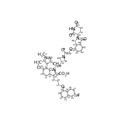 Cc1nn(C)c(C)c1-c1c(Cl)ccc2c(CCCOc3cccc4cc(F)ccc34)c(C(=O)O)n(CCC3CN(C(=O)COc4cccc5c4CN(C4CCC(=O)NC4=O)C5=O)C3)c12